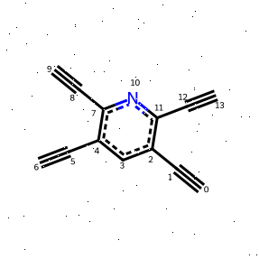 C#Cc1cc(C#C)c(C#C)nc1C#C